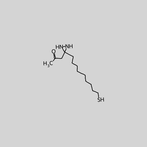 CC(=O)CC1(CCCCCCCCCS)NN1